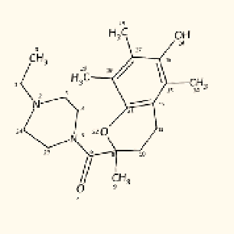 CCN1CCN(C(=O)C2(C)CCc3c(C)c(O)c(C)c(C)c3O2)CC1